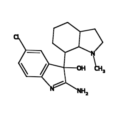 CN1CCC2CCCC(C3(O)C(N)=Nc4ccc(Cl)cc43)C21